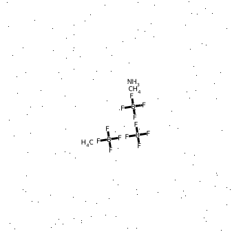 C.C.F[B-](F)(F)F.F[B-](F)(F)F.F[B-](F)(F)F.N